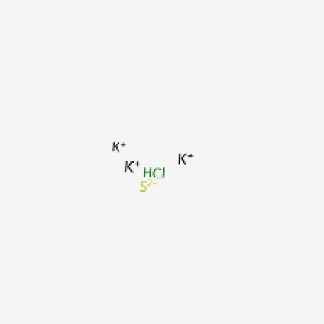 Cl.[K+].[K+].[K+].[S-2]